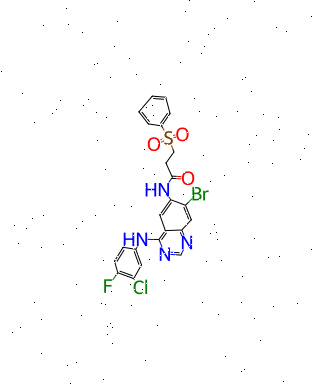 O=C(CCS(=O)(=O)c1ccccc1)Nc1cc2c(Nc3ccc(F)c(Cl)c3)ncnc2cc1Br